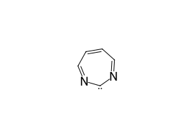 [C]1N=CC=CC=N1